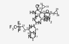 Nc1nc(-c2cn3ccnc3c(CCC(F)(F)C(F)(F)F)n2)nc2c1C(c1nnc(C3CC3)o1)(C1CC1)C(=O)N2